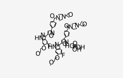 COCCOc1cc2[nH]nc(-c3cc(-c4ccc(C(=O)N5CCN(C6COC6)CC5)cc4)no3)c2cc1F.COCCOc1cc2[nH]nc(-c3cc(-c4ccc(C(=O)N5CCN(C6COC6)CC5)cc4)no3)c2cc1F.O=P(O)(O)O